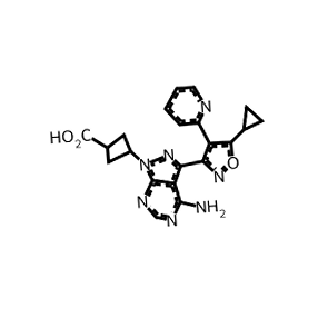 Nc1ncnc2c1c(-c1noc(C3CC3)c1-c1ccccn1)nn2C1CC(C(=O)O)C1